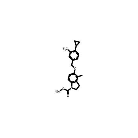 Cc1c(OCc2ccc(C3CC3)c(C(F)(F)F)c2)ccc2c1CCN2C(=O)OC(C)(C)C